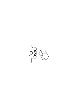 CCO[Si](OCC)(OCC)C1C2CC3CC(C2)CC1C3